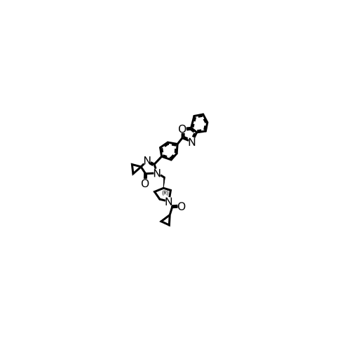 O=C(C1CC1)N1CC[C@@H](CN2C(=O)C3(CC3)N=C2c2ccc(-c3nc4ccccc4o3)cc2)C1